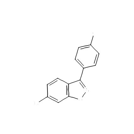 Sc1ccc2c(-c3ccc(Cl)cc3)noc2c1